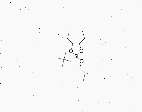 CCCO[Si](CC(C)(C)C)(OCCC)OCCC